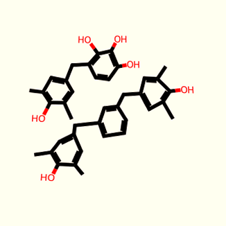 Cc1cc(Cc2ccc(O)c(O)c2O)cc(C)c1O.Cc1cc(Cc2cccc(Cc3cc(C)c(O)c(C)c3)c2)cc(C)c1O